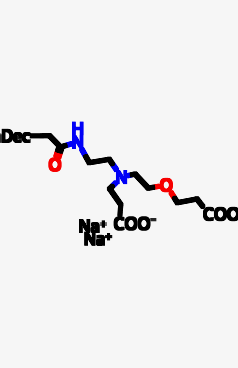 CCCCCCCCCCCC(=O)NCCN(CCOCCC(=O)[O-])CCC(=O)[O-].[Na+].[Na+]